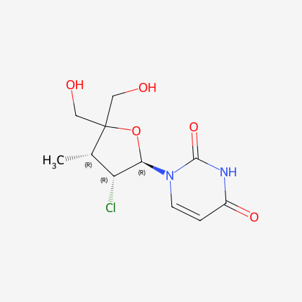 C[C@H]1[C@@H](Cl)[C@H](n2ccc(=O)[nH]c2=O)OC1(CO)CO